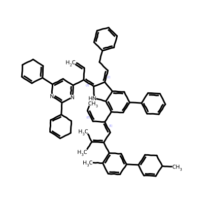 C=C/C(c1cc(C2=CCCC=C2)nc(C2=CC=CCC2)n1)=c1/[nH]c2c(C(/C=C\C)=C/C(=C(C)C)c3cc(C4=CCC(C)C=C4)ccc3C)cc(-c3ccccc3)cc2/c1=C/Cc1ccccc1